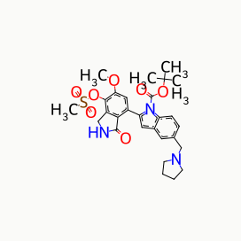 COc1cc(-c2cc3cc(CN4CCCC4)ccc3n2C(=O)OC(C)(C)C)c2c(c1OS(C)(=O)=O)CNC2=O